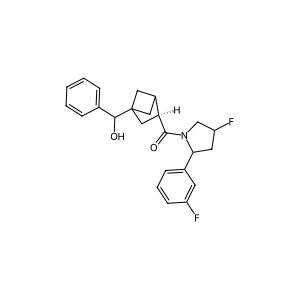 O=C([C@H]1CC2(C(O)c3ccccc3)CC1C2)N1CC(F)CC1c1cccc(F)c1